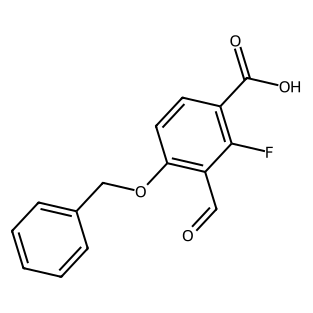 O=Cc1c(OCc2ccccc2)ccc(C(=O)O)c1F